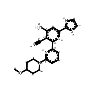 COC1CCN(c2cccc(-c3nc(-c4nccs4)cc(N)c3C#N)n2)CC1